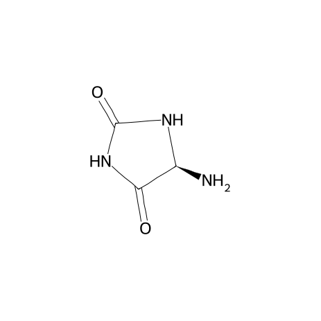 N[C@@H]1NC(=O)NC1=O